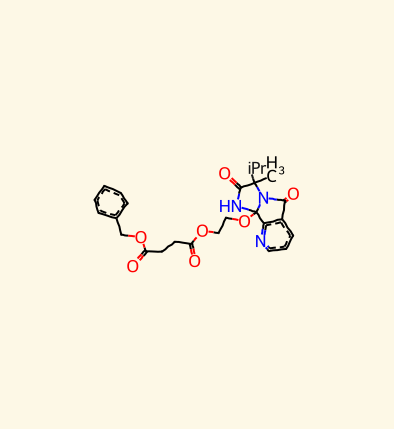 CC(C)C1(C)C(=O)NC2(OCCOC(=O)CCC(=O)OCc3ccccc3)c3ncccc3C(=O)N21